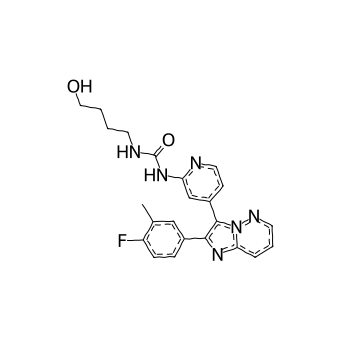 Cc1cc(-c2nc3cccnn3c2-c2ccnc(NC(=O)NCCCCO)c2)ccc1F